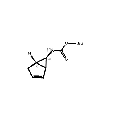 CC(C)(C)OC(=O)N[C@H]1C2C=CC[C@@H]21